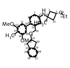 CCO[C@H]1C[C@](Nc2ccc(-c3cc(OC)c(C)c(OC)c3)c(COC3Cc4ccccc4C3)c2)(C(=O)O)C1